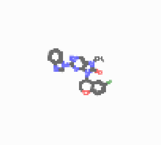 Cn1c2c(n(C3CCOc4ccc(F)cc43)c1=O)=NC(n1cnc3ccccc31)NC=2